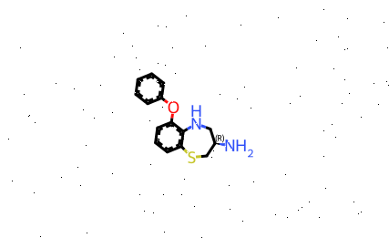 N[C@@H]1CNc2c(Oc3ccccc3)cccc2SC1